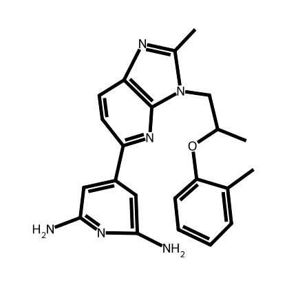 Cc1ccccc1OC(C)Cn1c(C)nc2ccc(-c3cc(N)nc(N)c3)nc21